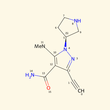 C#Cc1nn([C@H]2CCNC2)c(NC)c1C(N)=O